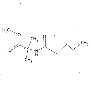 CCCCC(=O)NC(C)(C)C(=O)OC